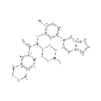 CN1CCC(N(Cc2cc(-c3ccc4[nH]ccc4c3)ccc2F)C(=O)c2ccc3c(c2)OCCO3)CC1